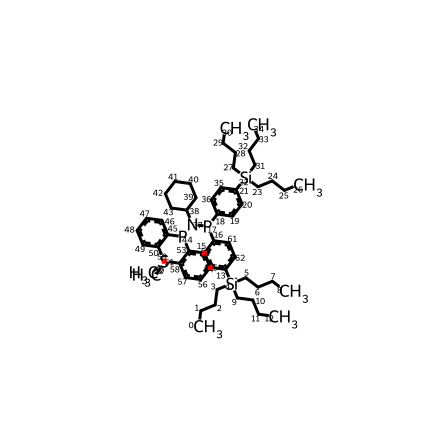 CCCC[Si](CCCC)(CCCC)c1ccc(P(c2ccc([Si](CCCC)(CCCC)CCCC)cc2)N(C2CCCCC2)P(c2ccccc2SC)c2ccccc2SC)cc1